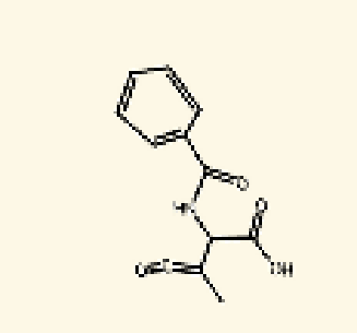 CC(=C=O)C(NC(=O)c1ccccc1)C(=O)O